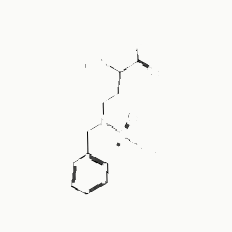 NC(CCN(Cc1ccccc1)S(N)(=O)=O)C(=O)O